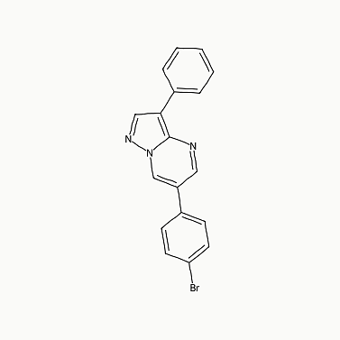 Brc1ccc(-c2cnc3c(-c4ccccc4)cnn3c2)cc1